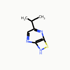 CC(C)c1cnc2[nH]sc2n1